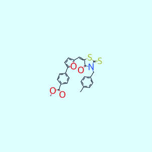 COC(=O)c1ccc(-c2ccc(C=C3SC(=S)N(Cc4ccc(C)cc4)C3=O)o2)cc1